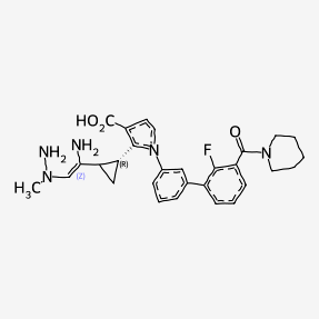 CN(N)/C=C(\N)C1C[C@H]1c1c(C(=O)O)ccn1-c1cccc(-c2cccc(C(=O)N3CCCCC3)c2F)c1